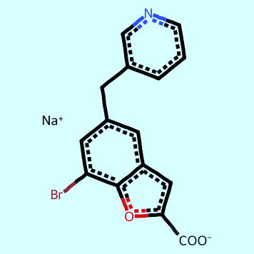 O=C([O-])c1cc2cc(Cc3cccnc3)cc(Br)c2o1.[Na+]